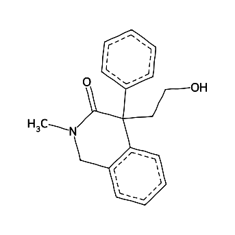 CN1Cc2ccccc2C(CCO)(c2ccccc2)C1=O